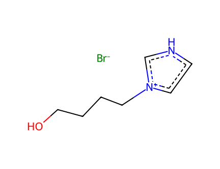 OCCCC[n+]1cc[nH]c1.[Br-]